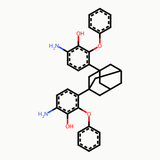 Nc1ccc(C23CC4CC(C2)CC(c2ccc(N)c(O)c2Oc2ccccc2)(C4)C3)c(Oc2ccccc2)c1O